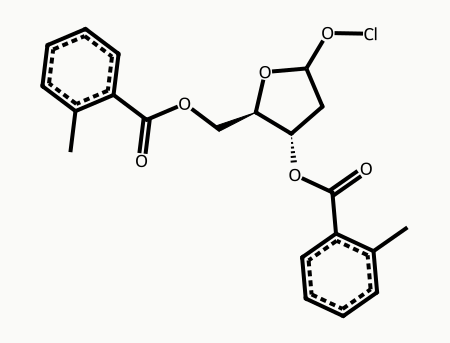 Cc1ccccc1C(=O)OC[C@H]1OC(OCl)C[C@@H]1OC(=O)c1ccccc1C